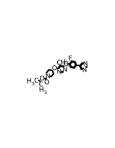 Cc1c(Oc2ccc(-c3cncnc3)cc2F)ncnc1OC1CCN(C(=O)OC(C)C)CC1